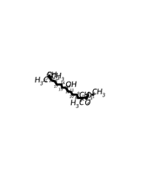 CCOC(=O)C(C)(C)CCCCCC(O)CCCCCC(C)(C)C